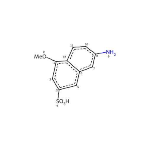 COc1cc(S(=O)(=O)O)cc2cc(N)ccc12